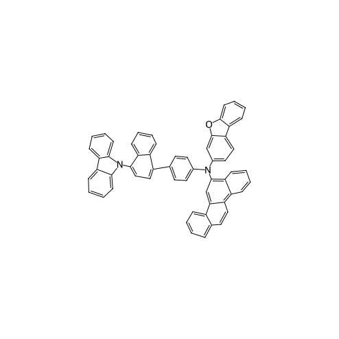 c1ccc2c(c1)ccc1c3ccccc3c(N(c3ccc(-c4ccc(-n5c6ccccc6c6ccccc65)c5ccccc45)cc3)c3ccc4c(c3)oc3ccccc34)cc21